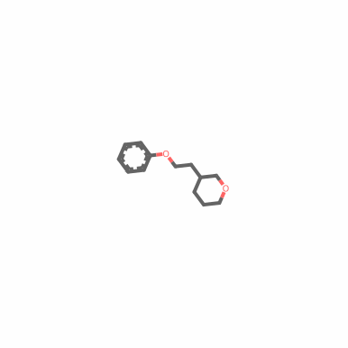 [c]1cccc(OCCC2CCCOC2)c1